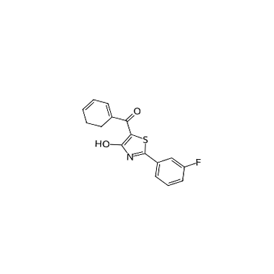 O=C(C1=CC=CCC1)c1sc(-c2cccc(F)c2)nc1O